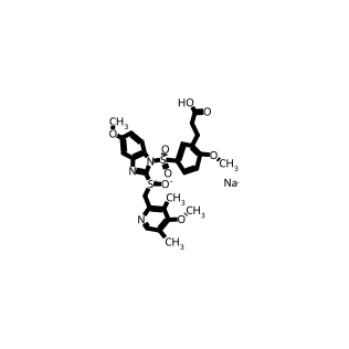 COc1ccc2c(c1)nc([S+]([O-])Cc1ncc(C)c(OC)c1C)n2S(=O)(=O)c1ccc(OC)c(CCC(=O)O)c1.[Na]